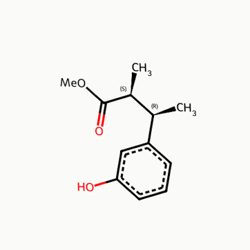 COC(=O)[C@@H](C)[C@@H](C)c1cccc(O)c1